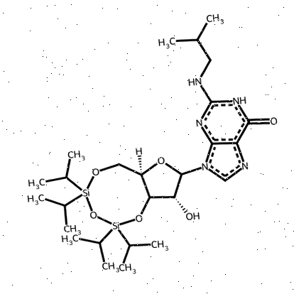 CC(C)CNc1nc2c(ncn2C2O[C@@H]3CO[Si](C(C)C)(C(C)C)O[Si](C(C)C)(C(C)C)OC3[C@H]2O)c(=O)[nH]1